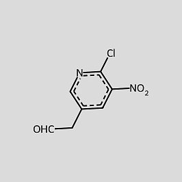 O=CCc1cnc(Cl)c([N+](=O)[O-])c1